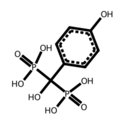 O=P(O)(O)C(O)(c1ccc(O)cc1)P(=O)(O)O